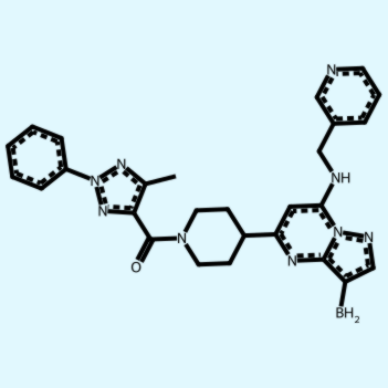 Bc1cnn2c(NCc3cccnc3)cc(C3CCN(C(=O)c4nn(-c5ccccc5)nc4C)CC3)nc12